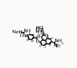 CNC(=N)Nc1ccc(C(=O)Oc2ccc3cc(C(=N)N)ccc3c2CC(N)=O)cc1.Cl.Cl